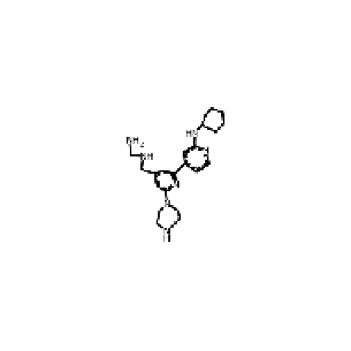 NCNCc1cc(-c2ccnc(NC3CCCCC3)c2)nc(N2CCNCC2)c1